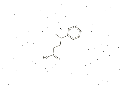 CC(CCC(=O)O)c1ccccc1